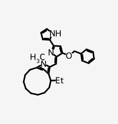 CCC1CCCCCCCCc2cc1c(C=C1N=C(c3ccc[nH]3)C=C1OCc1ccccc1)n2C